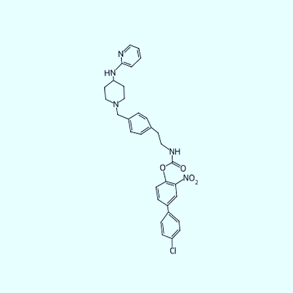 O=C(NCCc1ccc(CN2CCC(Nc3ccccn3)CC2)cc1)Oc1ccc(-c2ccc(Cl)cc2)cc1[N+](=O)[O-]